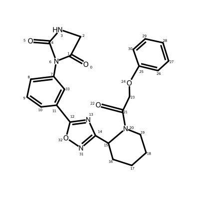 O=C1CNC(=O)N1c1cccc(-c2nc(C3CCCCN3C(=O)COc3ccccc3)no2)c1